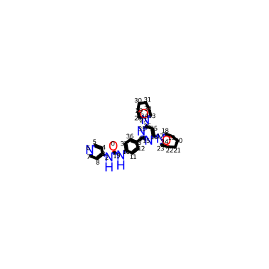 O=C(Nc1ccncc1)Nc1ccc(-c2nc(N3CC4CCC(C3)O4)cc(N3CC4CCC(C3)O4)n2)cc1